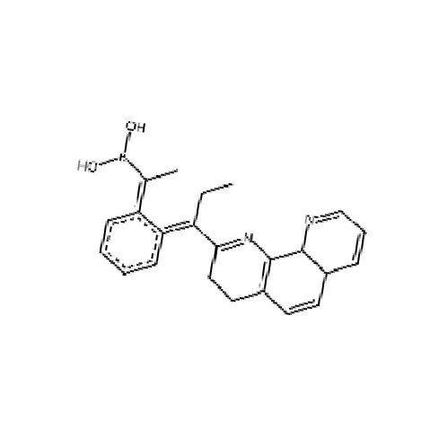 CC/C(C1=NC2=C(C=CC3C=CC=NC23)CC1)=c1/cccc/c1=C(/C)B(O)O